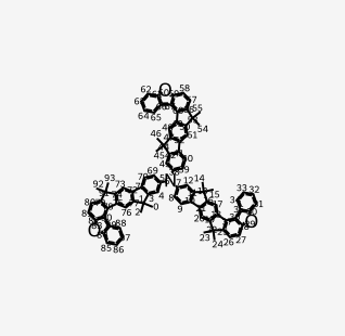 CC1(C)c2cc(N(c3ccc4c(c3)C(C)(C)c3cc5c(cc3-4)C(C)(C)c3ccc4oc6ccccc6c4c3-5)c3ccc4c(c3)C(C)(C)c3cc5c(cc3-4)C(C)(C)c3ccc4oc6ccccc6c4c3-5)ccc2-c2cc3c(cc21)-c1c(ccc2oc4ccccc4c12)C3(C)C